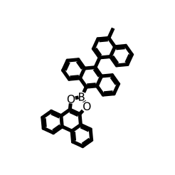 Cc1ccc(-c2c3ccccc3c(B3Oc4c(c5ccccc5c5ccccc45)O3)c3ccccc23)c2ccccc12